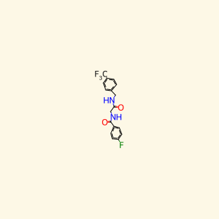 O=C(CNC(=O)c1ccc(F)cc1)NCc1ccc(C(F)(F)F)cc1